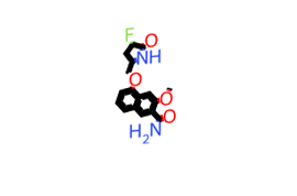 COc1cc2c(OCC3CC(F)C(=O)N3)cccc2cc1C(N)=O